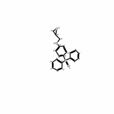 O=P(c1ccccc1)(c1ccccc1)c1ccc(OCC2CO2)cc1